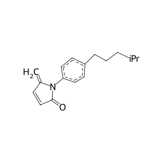 C=C1C=CC(=O)N1c1ccc(CCCC(C)C)cc1